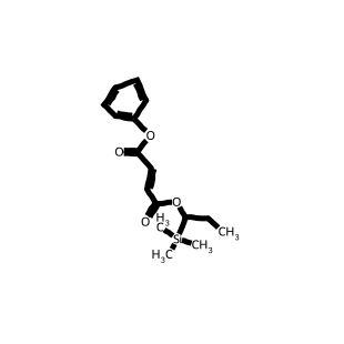 CCC(OC(=O)C=CC(=O)Oc1ccccc1)[Si](C)(C)C